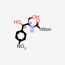 CCCCCCCCCC(=O)N[C@H](CO)[C@H](O)c1ccc([N+](=O)[O-])cc1